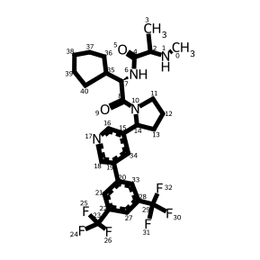 CNC(C)C(=O)N[C@H](C(=O)N1CCCC1c1cncc(-c2cc(C(F)(F)F)cc(C(F)(F)F)c2)c1)C1CCCCC1